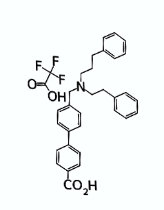 O=C(O)C(F)(F)F.O=C(O)c1ccc(-c2ccc(CN(CCCc3ccccc3)CCc3ccccc3)cc2)cc1